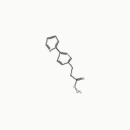 COC(=O)CCc1ccc(-c2ccccn2)cc1